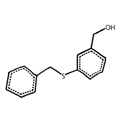 OCc1cccc(SCc2ccccc2)c1